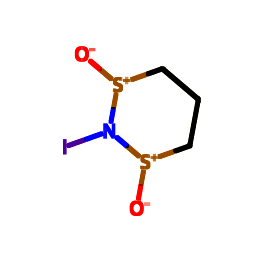 [O-][S+]1CCC[S+]([O-])N1I